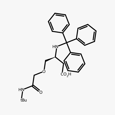 CC(C)(C)NC(=O)COC[C@H](CC(=O)O)NC(c1ccccc1)(c1ccccc1)c1ccccc1